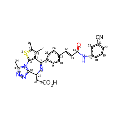 Cc1sc2c(c1C)C(c1ccc(C=CC(=O)Nc3cccc(C#N)c3)cc1)=N[C@@H](CC(=O)O)c1nnc(C)n1-2